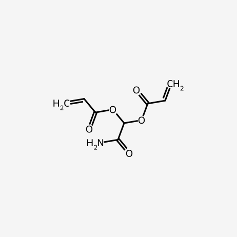 C=CC(=O)OC(OC(=O)C=C)C(N)=O